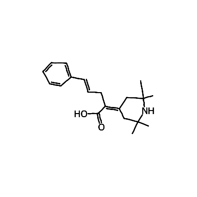 CC1(C)CC(=C(CC=Cc2ccccc2)C(=O)O)CC(C)(C)N1